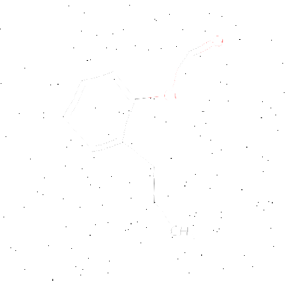 CCCc1ccccc1OC=O